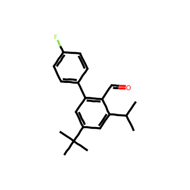 CC(C)c1cc(C(C)(C)C)cc(-c2ccc(F)cc2)c1C=O